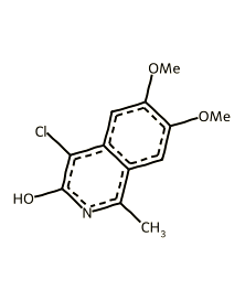 COc1cc2c(C)nc(O)c(Cl)c2cc1OC